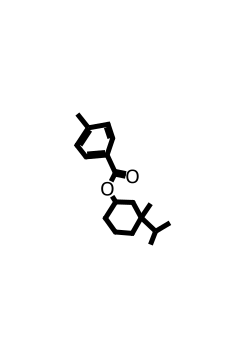 Cc1ccc(C(=O)OC2CCCC(C)(C(C)C)C2)cc1